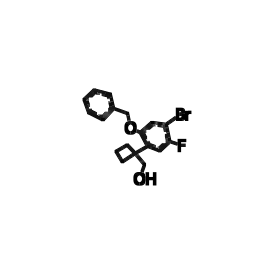 OCC1(c2cc(F)c(Br)cc2OCc2ccccc2)CCC1